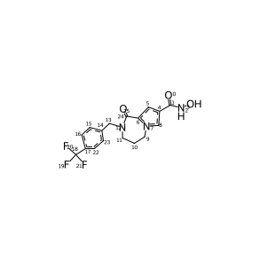 O=C(NO)c1cc2n(c1)CCCN(Cc1ccc(C(F)(F)F)cc1)C2=O